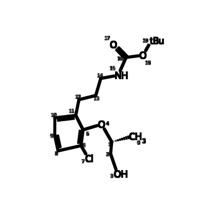 C[C@H](CO)Oc1c(Cl)cccc1CCCNC(=O)OC(C)(C)C